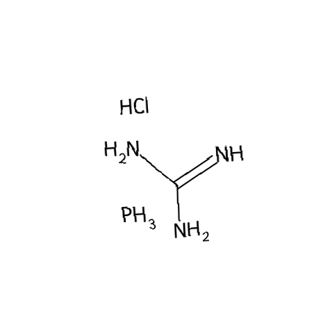 Cl.N=C(N)N.P